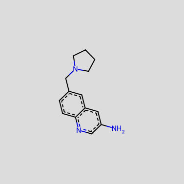 Nc1cnc2ccc(CN3CCCC3)cc2c1